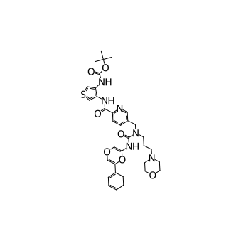 CC(C)(C)OC(=O)Nc1cscc1NC(=O)c1ccc(CN(CCCN2CCOCC2)C(=O)NC2=COC=C(C3=CC=CCC3)O2)cn1